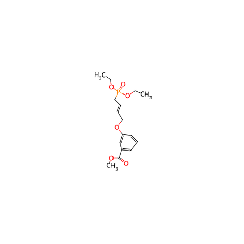 CCOP(=O)(CC=CCOc1cccc(C(=O)OC)c1)OCC